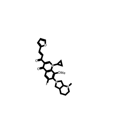 COc1c(N2CC3CCCN(C)C3C2)c(F)cc2c(=O)c(C(=O)C=Cc3ccco3)cn(C3CC3)c12